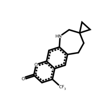 O=c1cc(C(F)(F)F)c2cc3c(cc2o1)NCC1(CC3)CC1